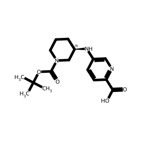 CC(C)(C)OC(=O)N1CCC[C@@H](Nc2ccc(C(=O)O)nc2)C1